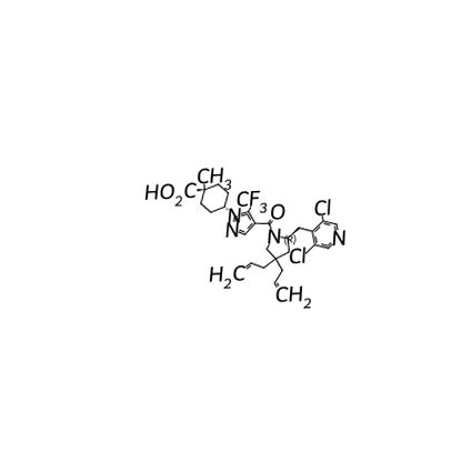 C=CCC1(CC=C)C[C@H](Cc2c(Cl)cncc2Cl)N(C(=O)c2cnn([C@H]3CC[C@](C)(C(=O)O)CC3)c2C(F)(F)F)C1